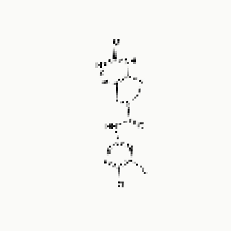 O=C(Nc1ccc(Cl)c(Cl)c1)N1CCc2[nH]c(=O)ncc2C1